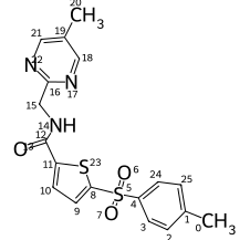 Cc1ccc(S(=O)(=O)c2ccc(C(=O)NCc3ncc(C)cn3)s2)cc1